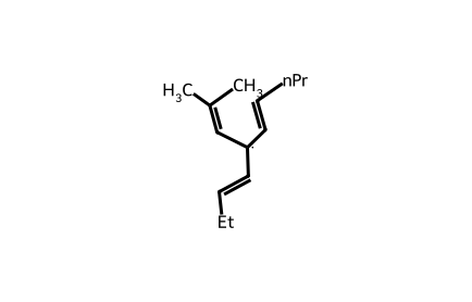 CCC=C[C](C=CCCC)C=C(C)C